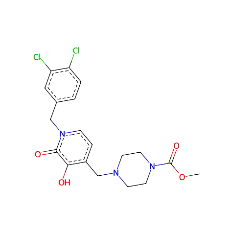 COC(=O)N1CCN(Cc2ccn(Cc3ccc(Cl)c(Cl)c3)c(=O)c2O)CC1